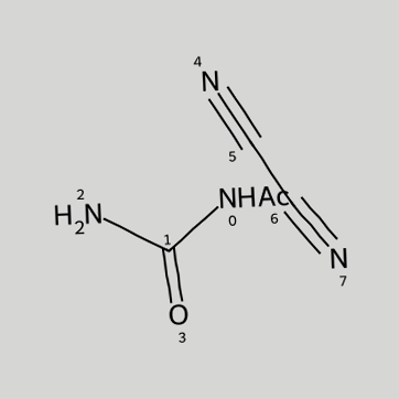 CC(=O)NC(N)=O.N#CC#N